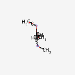 CCCCCCCC/C=C\CCCCCCCC(=O)CC(C(=O)CCCCCCC/C=C\CCCCCCCC)C(S)N(C)C